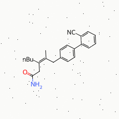 CCCC/C(CC(N)=O)=C(\C)Cc1ccc(-c2ccccc2C#N)cc1